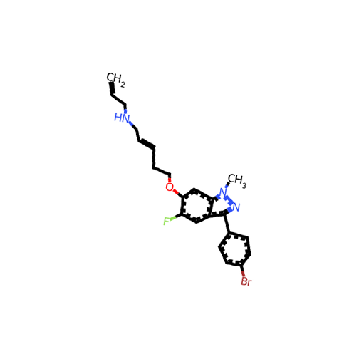 C=CCNC/C=C/CCOc1cc2c(cc1F)c(-c1ccc(Br)cc1)nn2C